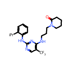 CC(C)c1ccccc1Nc1ncc(C(F)(F)F)c(NCCCN2CCCCC2=O)n1